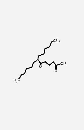 CCCCCCN(CCCCCC)C(=O)CCCC(=O)O